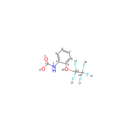 [O]C(=O)Nc1ccccc1OC(F)(F)C(F)(F)F